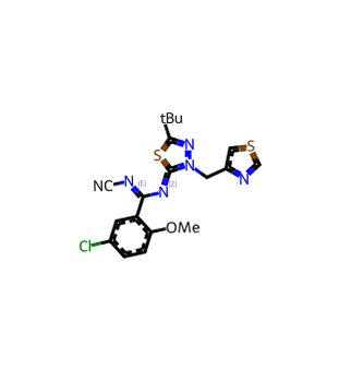 COc1ccc(Cl)cc1C(/N=c1\sc(C(C)(C)C)nn1Cc1cscn1)=N\C#N